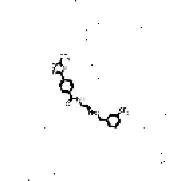 O=C(NCC=NOCc1cccc(C(F)(F)F)c1)c1ccc(-c2noc(C(F)(F)F)n2)cc1